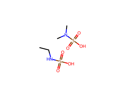 CCNS(=O)(=O)O.CN(C)S(=O)(=O)O